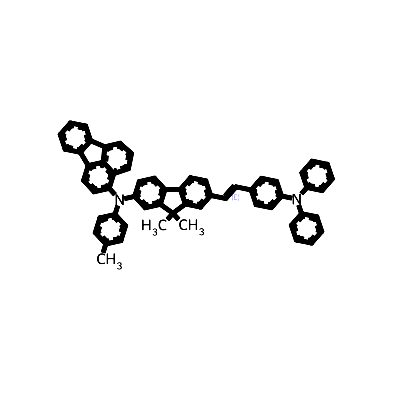 Cc1ccc(N(c2ccc3c(c2)C(C)(C)c2cc(/C=C/c4ccc(N(c5ccccc5)c5ccccc5)cc4)ccc2-3)c2ccc3c4c(cccc24)-c2ccccc2-3)cc1